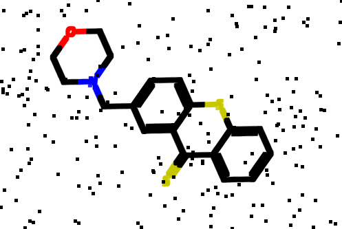 S=c1c2ccccc2sc2ccc(CN3CCOCC3)cc12